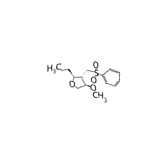 CCC[C@@H]1OC[C@H](OC)[C@H]1CS(=O)(=O)c1ccccc1